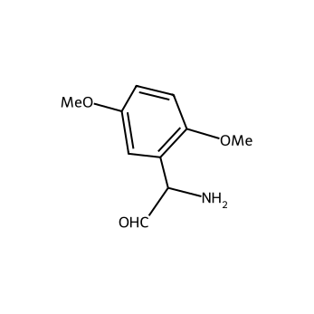 COc1ccc(OC)c(C(N)C=O)c1